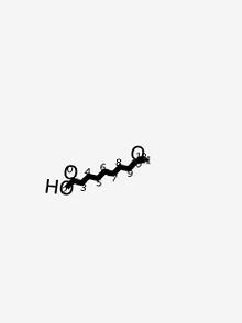 O=C(O)CCCCCCCC1=CO1